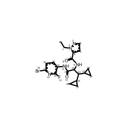 CCn1nccc1C(=O)NC(C(=O)Nc1ccc(Br)nc1F)C(C1CC1)C1CC1